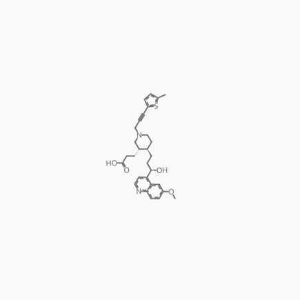 COc1ccc2nccc([C@H](O)CC[C@@H]3CCN(CC#Cc4ccc(C)s4)C[C@H]3CCC(=O)O)c2c1